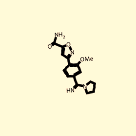 COc1cc(C(=N)N2CCCC2)ccc1-c1cc(C(N)=O)on1